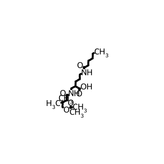 CCCCCC(=O)NCCCC(CNC(=O)C1OC(C)(C)OCC1(C)C)C(=O)O